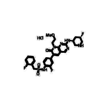 COCCn1c(=O)c(-c2ccc(NS(=O)(=O)Cc3ccccc3F)c(F)c2)cc2cnc(N[C@@H]3CNC[C@@H](F)C3)nc21.Cl